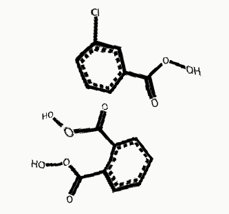 O=C(OO)c1cccc(Cl)c1.O=C(OO)c1ccccc1C(=O)OO